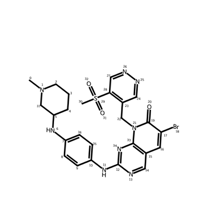 CN1CCCC(Nc2ccc(Nc3ncc4cc(Br)c(=O)n(Cc5cnncc5S(C)(=O)=O)c4n3)cc2)C1